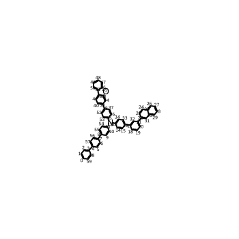 c1ccc(-c2ccc(-c3ccc(N(c4ccc(-c5cccc(-c6ccc7ccccc7c6)c5)cc4)c4ccc(-c5ccc6c(c5)oc5ccccc56)cc4)cc3)cc2)cc1